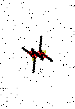 CCCCCCCCCCCCC(CS)(CCCCCCCCCCCC)OC(=O)C(Cc1cc(C(C)(C)C)c(O)c(C(C)(C)C)c1)(Cc1cc(C(C)(C)C)c(O)c(C(C)(C)C)c1)C(=O)OC(CS)(CCCCCCCCCCCC)CCCCCCCCCCCC